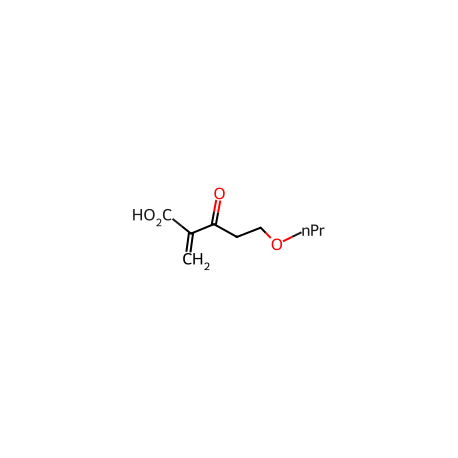 C=C(C(=O)O)C(=O)CCOCCC